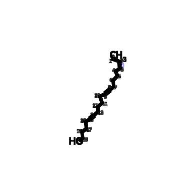 CC/C=C\CCCCC#CCCCCC#CCCCCO